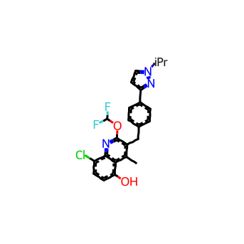 Cc1c(Cc2ccc(-c3ccn(C(C)C)n3)cc2)c(OC(F)F)nc2c(Cl)ccc(O)c12